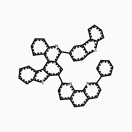 c1ccc(-c2ccc3ccc4ccc(-c5cc6c(-c7ccc8sc9ccccc9c8c7)nc7ccccc7c6c6c5sc5ccccc56)nc4c3n2)cc1